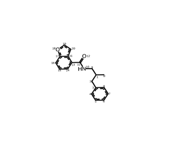 CC([CH]c1ccccc1)CNC(=O)c1cccc2occc12